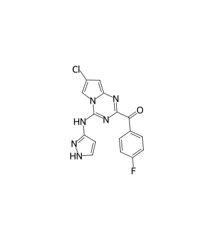 O=C(c1ccc(F)cc1)c1nc(Nc2cc[nH]n2)n2cc(Cl)cc2n1